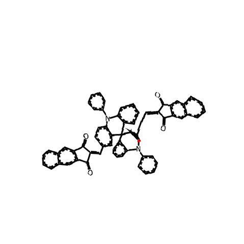 O=C1C(=Cc2ccc3c(c2)C2(c4ccccc4N3c3ccccc3)c3ccccc3N(c3ccccc3)c3ccc(C=C4C(=O)c5cc6ccccc6cc5C4=O)cc32)C(=O)c2cc3ccccc3cc21